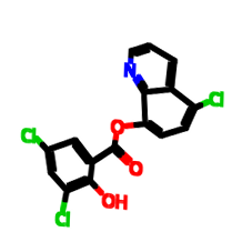 O=C(Oc1ccc(Cl)c2cccnc12)c1cc(Cl)cc(Cl)c1O